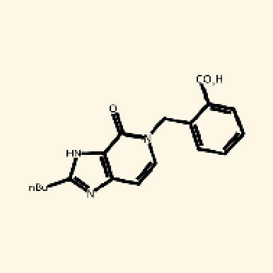 CCCCc1nc2ccn(Cc3ccccc3C(=O)O)c(=O)c2[nH]1